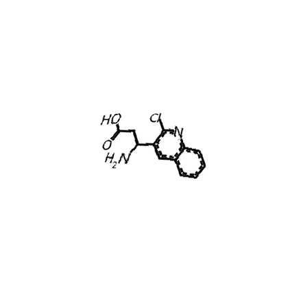 NC(CC(=O)O)c1cc2ccccc2nc1Cl